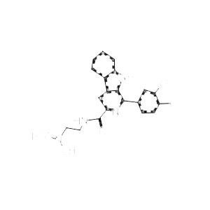 CN(C)CCNC(=O)c1cc2c([nH]c3ccccc32)c(-c2ccc(Cl)c(Cl)c2)n1